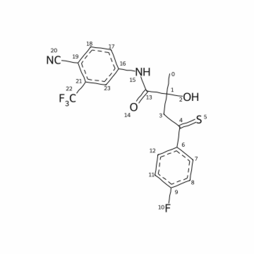 CC(O)(CC(=S)c1ccc(F)cc1)C(=O)Nc1ccc(C#N)c(C(F)(F)F)c1